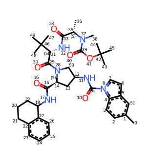 Cc1ccc2c(ccn2C(=O)NC2C[C@@H](C(=O)NC3CCCc4ccccc43)N(C(=O)[C@@H](NC(=O)[C@H](C)N(C)C(=O)OC(C)(C)C)C(C)(C)C)C2)c1